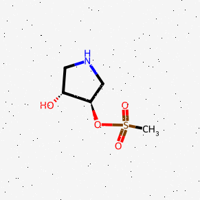 CS(=O)(=O)O[C@@H]1CNC[C@H]1O